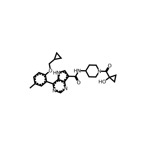 Cc1ccc(OCC2CC2)c(-c2ncnc3c(C(=O)NC4CCN(C(=O)C5(O)CC5)CC4)c[nH]c23)c1